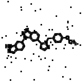 COc1ccc(Cn2nccc2-c2ccc3nnn(-c4ccc5cn[nH]c5c4)c3c2)cc1